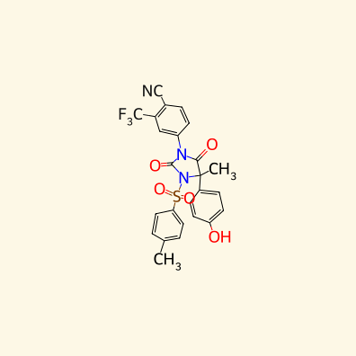 Cc1ccc(S(=O)(=O)N2C(=O)N(c3ccc(C#N)c(C(F)(F)F)c3)C(=O)C2(C)c2ccc(O)cc2)cc1